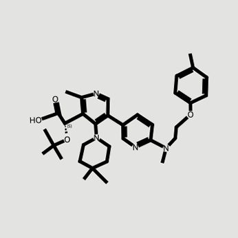 Cc1ccc(OCCN(C)c2ccc(-c3cnc(C)c([C@H](OC(C)(C)C)C(=O)O)c3N3CCC(C)(C)CC3)cn2)cc1